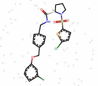 O=C(NCc1ccc(COc2cccc(F)c2)cc1)[C@@H]1CCCN1S(=O)(=O)c1ccc(Cl)s1